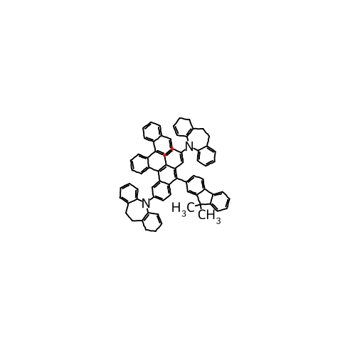 CC1(C)c2ccccc2-c2ccc(-c3c4cc(N5C6=C(CCC=C6)CCc6ccccc65)ccc4c(-c4ccccc4-c4cccc5ccccc45)c4cc(N5C6=C(CCC=C6)CCc6ccccc65)ccc34)cc21